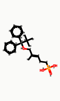 C/C(=C\CCP(=O)(O)O)CO[Si](c1ccccc1)(c1ccccc1)C(C)(C)C